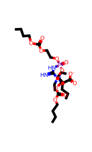 CCCCOC(=O)OCCOP(=O)(NC(=N)[N+](CC)(CC)C(CCC)C(=O)[O-])OCCOC(=O)OCCCC